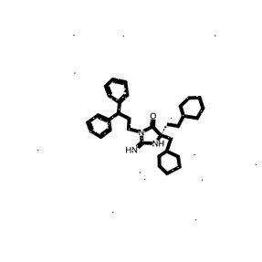 N=C1N[C@](CCC2CCCCC2)(CC2CCCCC2)C(=O)N1CCC(c1ccccc1)c1ccccc1